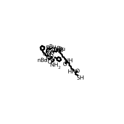 CCCCN(CC(=O)N(CCCC)CC(=O)N(CCCC)CC(=O)N(CC(=O)N(CCCC)CC(=O)N(CC(N)=O)Cc1ccccc1)Cc1ccccc1)C(=O)CCCCCNC(=O)CCCCCNC(=O)CCS